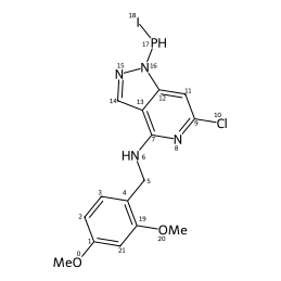 COc1ccc(CNc2nc(Cl)cc3c2cnn3PI)c(OC)c1